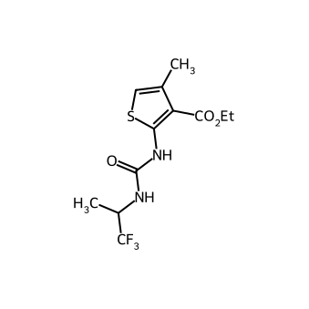 CCOC(=O)c1c(C)csc1NC(=O)NC(C)C(F)(F)F